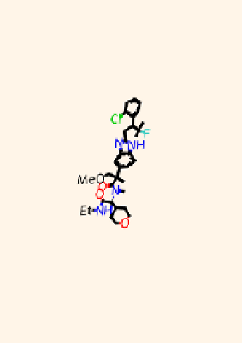 CCNC(=O)[C@@H](C1CCOCC1)N(C)C(=O)C(C)(COC)c1ccc2[nH]c(CC(c3ccccc3Cl)C(C)(C)F)nc2c1